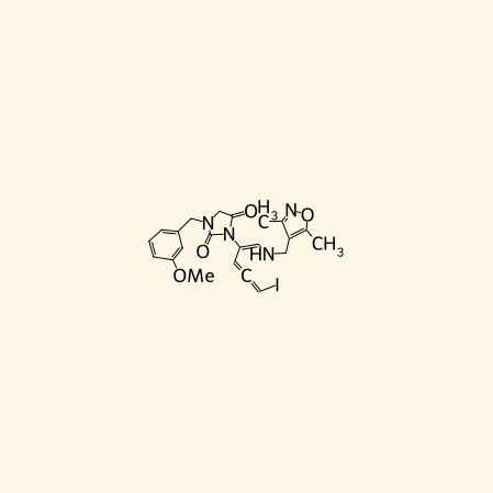 COc1cccc(CN2CC(=O)N(/C(C=C=CI)=C/NCc3c(C)noc3C)C2=O)c1